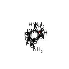 CC(=O)N[C@@H](CCCCN)C(=O)N[C@H]1CCSSC(C)(C)[C@@H](C(=O)O)NC(=O)[C@H](Cc2c[nH]c3ccccc23)NC(=O)[C@H](CCCNC(=N)N)NC(=O)[C@@H](Cc2ccccc2)NC(=O)[C@H](CC(N)=O)NC1=O